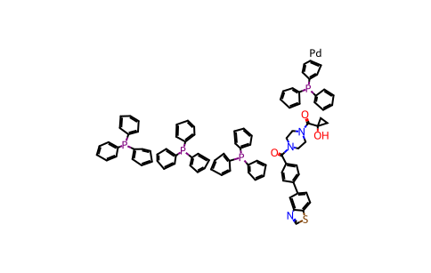 O=C(c1ccc(-c2ccc3scnc3c2)cc1)N1CCN(C(=O)C2(O)CC2)CC1.[Pd].c1ccc(P(c2ccccc2)c2ccccc2)cc1.c1ccc(P(c2ccccc2)c2ccccc2)cc1.c1ccc(P(c2ccccc2)c2ccccc2)cc1.c1ccc(P(c2ccccc2)c2ccccc2)cc1